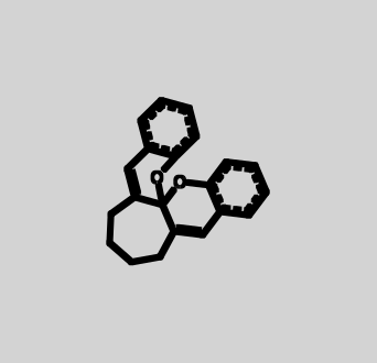 C1=C2CCCCC3=Cc4ccccc4OC23Oc2ccccc21